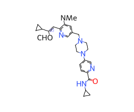 CNc1cc(CN2CCN(c3ccc(C(=O)NC4CC4)nc3)CC2)cnc1/C=C(\C=O)C1CC1